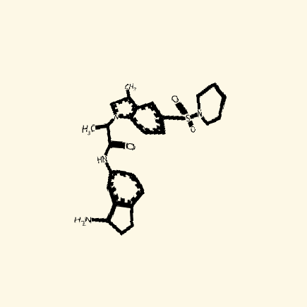 Cc1cn(C(C)C(=O)Nc2ccc3c(c2)C(N)CC3)c2ccc(S(=O)(=O)N3CCCCC3)cc12